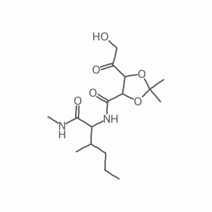 CCCC(C)C(NC(=O)C1OC(C)(C)OC1C(=O)CO)C(=O)NC